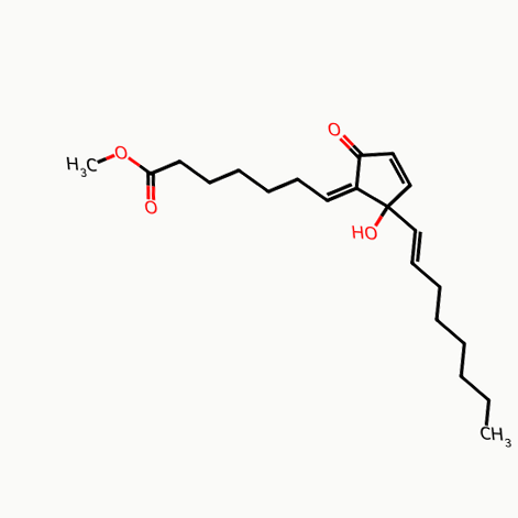 CCCCCC/C=C/C1(O)C=CC(=O)/C1=C\CCCCCC(=O)OC